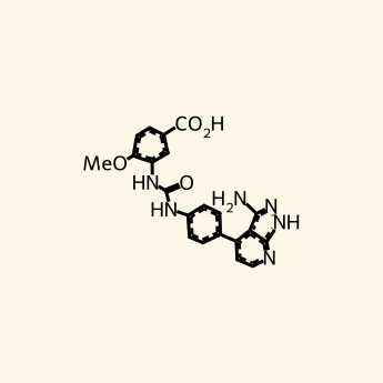 COc1ccc(C(=O)O)cc1NC(=O)Nc1ccc(-c2ccnc3[nH]nc(N)c23)cc1